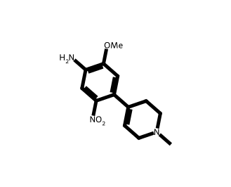 COc1cc(C2=CCN(C)CC2)c([N+](=O)[O-])cc1N